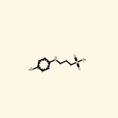 O=S(=O)(O)CCCNc1ccc(O)cc1